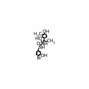 CC/C(=N\NC(=O)NCc1ccc(Br)c(O)c1)c1ccc(O)c(C)c1O